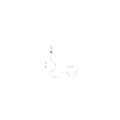 O=Cc1cn(-c2ccccc2)c2cc(C#CS)ccc12